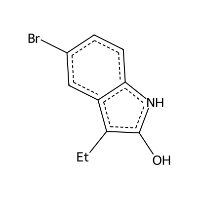 CCc1c(O)[nH]c2ccc(Br)cc12